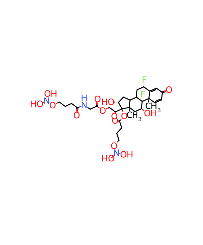 C[C@]12C=CC(=O)C=C1[C@@H](F)CC1C3C[C@@H](O)[C@](OC(=O)CCCON(O)O)(C(=O)COC(=O)CNC(=O)CCCON(O)O)[C@@]3(C)C[C@H](O)[C@@]12F